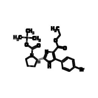 CCOC(=O)c1nc([C@@H]2CCCN2C(=O)OC(C)(C)C)[nH]c1-c1ccc(Br)cc1